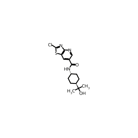 CC(C)(O)[C@H]1CC[C@H](NC(=O)c2cnc3nc(Cl)sc3c2)CC1